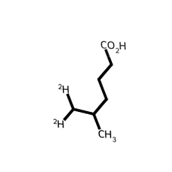 [2H]C([2H])C(C)CCCC(=O)O